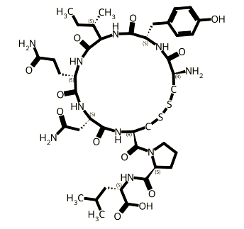 CC[C@H](C)C1NC(=O)[C@H](Cc2ccc(O)cc2)NC(=O)[C@@H](N)CSSC[C@@H](C(=O)N2CCC[C@H]2C(=O)N[C@@H](CC(C)C)C(=O)O)NC(=O)[C@H](CC(N)=O)NC(=O)[C@H](CCC(N)=O)NC1=O